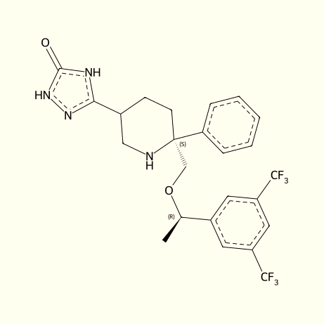 C[C@@H](OC[C@@]1(c2ccccc2)CCC(c2n[nH]c(=O)[nH]2)CN1)c1cc(C(F)(F)F)cc(C(F)(F)F)c1